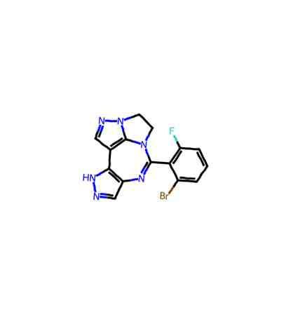 Fc1cccc(Br)c1C1=Nc2cn[nH]c2-c2cnn3c2N1CC3